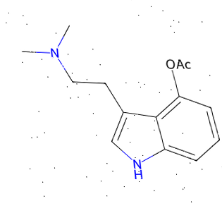 CC(=O)Oc1cccc2[nH]cc(CCN(C)C)c12